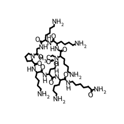 CCNC(CCCCN)C(=O)NC(CCCCN)C(=O)NC(CCCCN)C(=O)NCC(=O)N1CCCC1C(=O)NC(CCCCN)C(=O)NC(CCOC=O)C(=O)NC(CCCCN)C(=O)NCCCCCC(N)=O